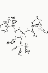 COCCN(CCC(=O)N1CCC[C@@H]1C(=O)O)CCC(=O)N1CCC[C@@H]1C(=O)O.O=C(O)C(F)(F)F